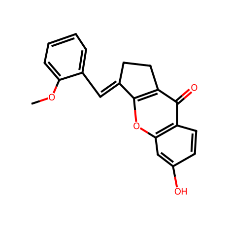 COc1ccccc1/C=C1\CCc2c1oc1cc(O)ccc1c2=O